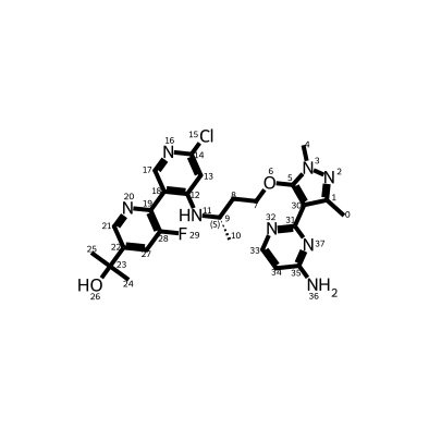 Cc1nn(C)c(OCC[C@H](C)Nc2cc(Cl)ncc2-c2ncc(C(C)(C)O)cc2F)c1-c1nccc(N)n1